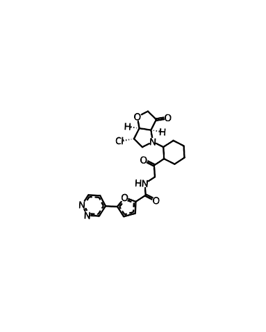 O=C(NCC(=O)C1CCCCC1N1C[C@H](Cl)[C@H]2OCC(=O)[C@H]21)c1ccc(-c2ccnnc2)o1